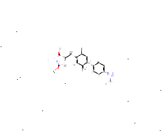 Cc1cc(-c2ccc(NC(C)C)cc2)c(C)cc1C=C1SC(=O)NC1=O